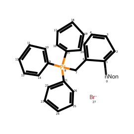 CCCCCCCCCc1ccccc1C[P+](c1ccccc1)(c1ccccc1)c1ccccc1.[Br-]